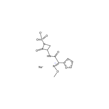 CO/N=C(/C(=O)NC1CN(S(=O)(=O)[O-])C1=O)c1ccco1.[Na+]